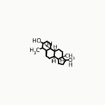 CC1C2=CC[C@@H]3[C@@H](CC[C@]4(C)C(O)CC[C@@H]34)[C@@]2(CO)CCC1O